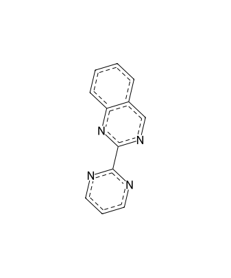 c1cnc(-c2ncc3ccccc3n2)nc1